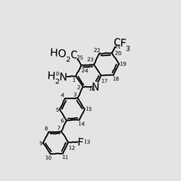 Nc1c(-c2ccc(-c3ccccc3F)cc2)nc2ccc(C(F)(F)F)cc2c1C(=O)O